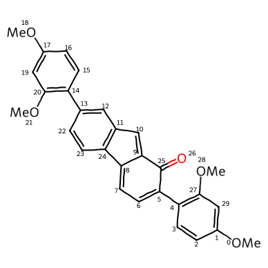 COc1ccc(C2=CC=C3C(=Cc4cc(-c5ccc(OC)cc5OC)ccc43)C2=O)c(OC)c1